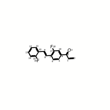 C=CC(=O)c1ccc(/C=C/c2ccccc2F)c(F)c1